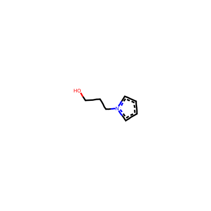 OCCCn1[c]ccc1